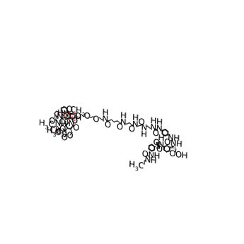 CCCNC(=O)Nc1cccc(S(=O)(=O)Nc2cccc([C@@H](CC(=O)O)NC(=O)Nc3ccc(NC(=O)NCCNC(=O)CNC(=O)CCNC(=O)CCCC(=O)NCCOCCOCCOCCC(=O)NC(CC(=O)O)C(=O)N4CCC[C@@H]4C(=O)NC(C(=O)O[C@@]4(CC)C(=O)OCc5c4cc4n(c5=O)Cc5c-4nc4ccccc4c5CC)C(C)C)cc3)c2)c1